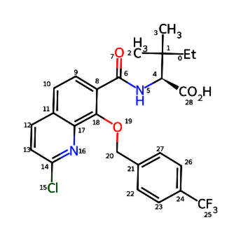 CCC(C)(C)[C@H](NC(=O)c1ccc2ccc(Cl)nc2c1OCc1ccc(C(F)(F)F)cc1)C(=O)O